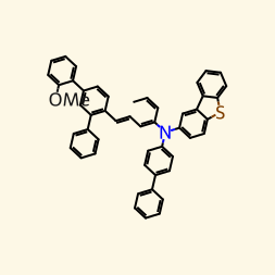 C\C=C/C(=C\C=C\c1ccc(-c2ccccc2OC)cc1-c1ccccc1)N(c1ccc(-c2ccccc2)cc1)c1ccc2sc3ccccc3c2c1